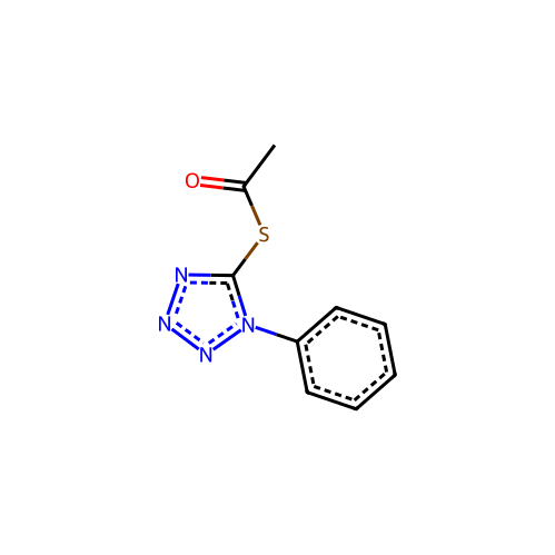 CC(=O)Sc1nnnn1-c1ccccc1